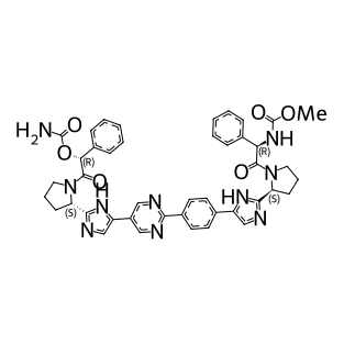 COC(=O)N[C@@H](C(=O)N1CCC[C@H]1c1ncc(-c2ccc(-c3ncc(-c4cnc([C@@H]5CCCN5C(=O)[C@H](OC(N)=O)c5ccccc5)[nH]4)cn3)cc2)[nH]1)c1ccccc1